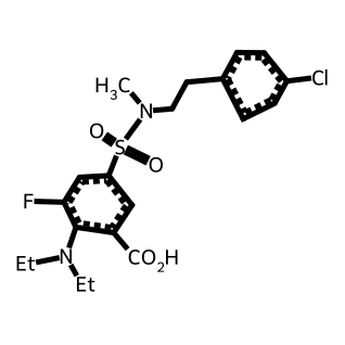 CCN(CC)c1c(F)cc(S(=O)(=O)N(C)CCc2ccc(Cl)cc2)cc1C(=O)O